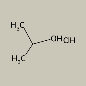 CC(C)O.Cl